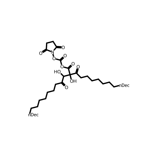 CCCCCCCCCCCCCCCCCC(=O)C(O)C(O)(C(=O)CCCCCCCCCCCCCCCCC)C(=O)OC(=O)ON1C(=O)CCC1=O